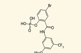 COc1cc(NC(=O)c2cc(Br)ccc2OP(=O)(O)O)cc(C(F)(F)F)c1